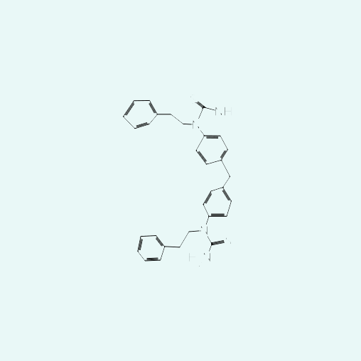 NC(=S)N(CCc1ccccc1)c1ccc(Cc2ccc(N(CCc3ccccc3)C(N)=S)cc2)cc1